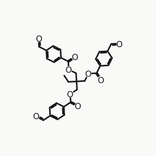 CCC(COC(=O)c1ccc(C=O)cc1)(COC(=O)c1ccc(C=O)cc1)COC(=O)c1ccc(C=O)cc1